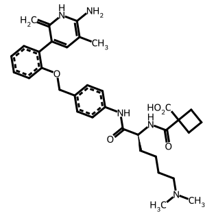 C=C1NC(N)=C(C)C=C1c1ccccc1OCc1ccc(NC(=O)[C@H](CCCCN(C)C)NC(=O)C2(C(=O)O)CCC2)cc1